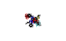 CCCCn1c(-c2ccccc2)nc(-c2ccc(SCC)cc2)c1CN(Cc1cccc(OC(F)(F)C(F)F)c1)Cc1ccc2c(c1)OCO2